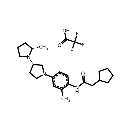 Cc1cc(N2CC[C@H](N3CCC[C@@H]3C)C2)ccc1NC(=O)CC1CCCC1.O=C(O)C(F)(F)F